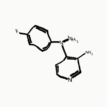 Nc1cnccc1N(N)c1ccc(F)cc1